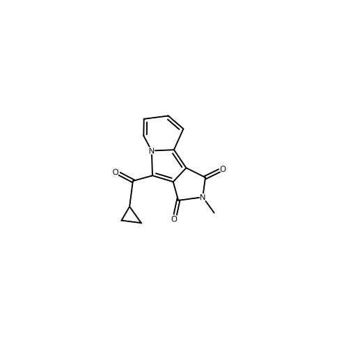 CN1C(=O)c2c(c3ccccn3c2C(=O)C2CC2)C1=O